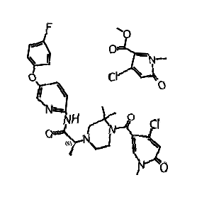 COC(=O)c1cn(C)c(=O)cc1Cl.C[C@@H](C(=O)Nc1ccc(Oc2ccc(F)cc2)cn1)N1CCN(C(=O)c2cn(C)c(=O)cc2Cl)C(C)(C)C1